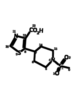 CS(=O)(=O)N1CCC(c2scnc2C(=O)O)CC1